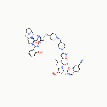 CC(C)[C@@H](C(=O)N1C[C@H](O)C[C@H]1C(=O)N[C@@H](C)c1ccc(C#N)cc1)c1cc(N2CCC(CN3CCC(O[C@H]4C[C@H](Oc5cc(N6C7CCC6CN(c6cc(-c8ccccc8O)nnc6N)CC7)ccn5)C4)CC3)CC2)no1